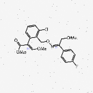 CO/C=C(/C(=O)OC)c1cccc(Cl)c1CO/N=C(\COC)c1ccc(F)cc1